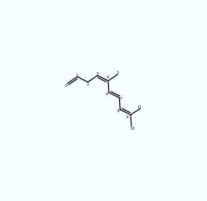 C=CCC=C(C)C=CC=C(C)C